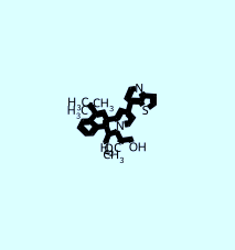 C=C(CO)C1C(COC)c2c(cc(C(C)(C)C)c3ccccc23)-c2cc(-c3ccnc4ccsc34)cc[n+]21